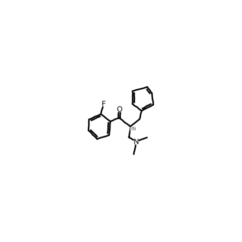 CN(C)C[C@H](Cc1ccccc1)C(=O)c1ccccc1F